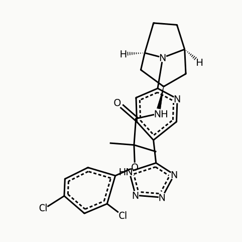 CC(C)(Oc1ccc(Cl)cc1Cl)C(=O)N[C@H]1C[C@H]2CC[C@@H](C1)N2c1ccc(-c2nnn[nH]2)cn1